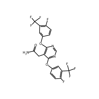 NC(=O)Cc1c(Oc2ccc(F)c(C(F)(F)F)c2)ncnc1Oc1ccc(F)c(C(F)(F)F)c1